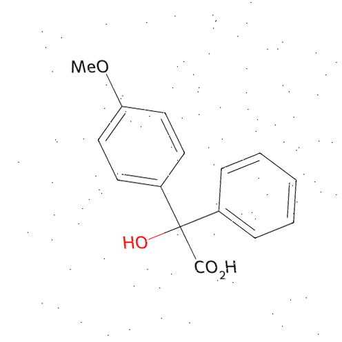 COc1ccc(C(O)(C(=O)O)c2ccccc2)cc1